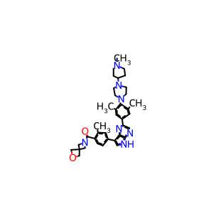 Cc1cc(-c2c[nH]c3ncc(-c4cc(C)c(N5CCN(C6CCN(C)CC6)CC5)c(C)c4)nc23)ccc1C(=O)N1CC2(COC2)C1